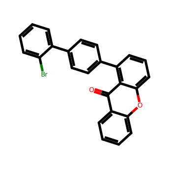 O=c1c2ccccc2oc2cccc(-c3ccc(-c4ccccc4Br)cc3)c12